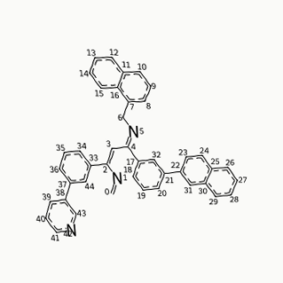 C=N/C(=C\C(=N/Cc1cccc2ccccc12)c1cccc(-c2ccc3ccccc3c2)c1)c1cccc(-c2cccnc2)c1